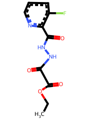 CCOC(=O)C(=O)NNC(=O)c1ncccc1F